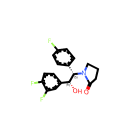 O=C1CCCN1[C@@H](c1ccc(F)cc1)[C@H](O)c1ccc(F)c(F)c1